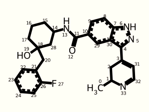 CC1CC(c2n[nH]c3ccc(C(=O)NC4CCCC(O)(Cc5ccccc5F)C4)cc23)=CC=N1